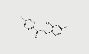 O=C(/C=C/c1ccc(Cl)cc1Cl)c1ccc(F)cc1